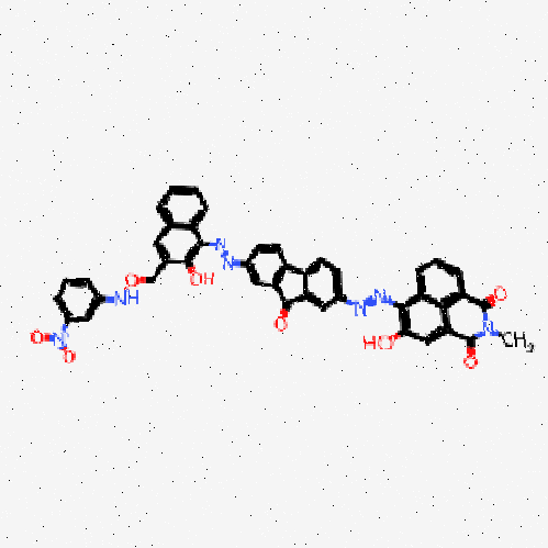 CN1C(=O)c2cccc3c(N=Nc4ccc5c(c4)C(=O)c4cc(N=Nc6c(O)c(CONc7cccc([N+](=O)[O-])c7)cc7ccccc67)ccc4-5)c(O)cc(c23)C1=O